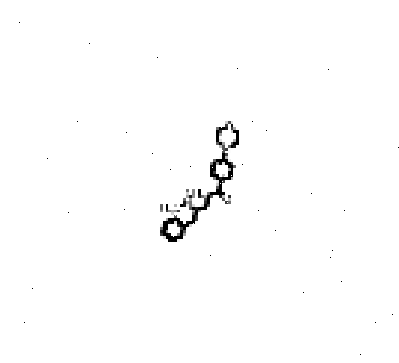 CN(C)C(CCC(=O)c1ccc(N2CCOCC2)cc1)Cc1ccccc1